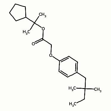 CCC(C)(C)Cc1ccc(OCC(=O)OC(C)(C)C2CCCC2)cc1